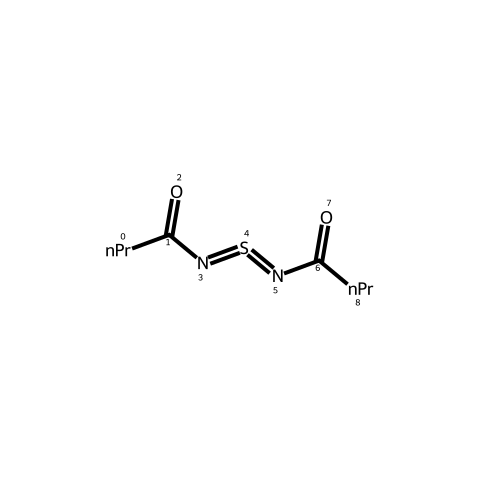 CCCC(=O)N=S=NC(=O)CCC